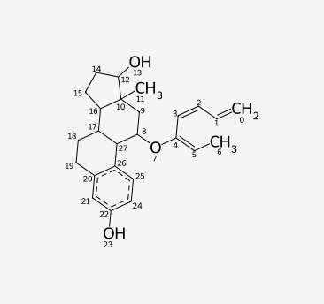 C=C/C=C\C(=C/C)OC1CC2(C)C(O)CCC2C2CCc3cc(O)ccc3C12